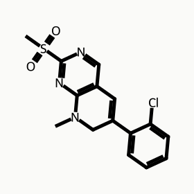 CN1CC(c2ccccc2Cl)=Cc2cnc(S(C)(=O)=O)nc21